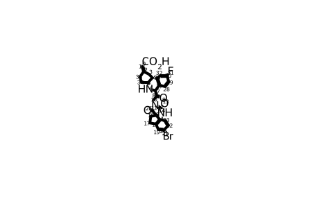 O=C(O)C=C1CCC(NC(C(=O)CN2C(=O)NC3(CCc4cc(Br)ccc43)C2=O)c2ccc(F)cc2)CC1